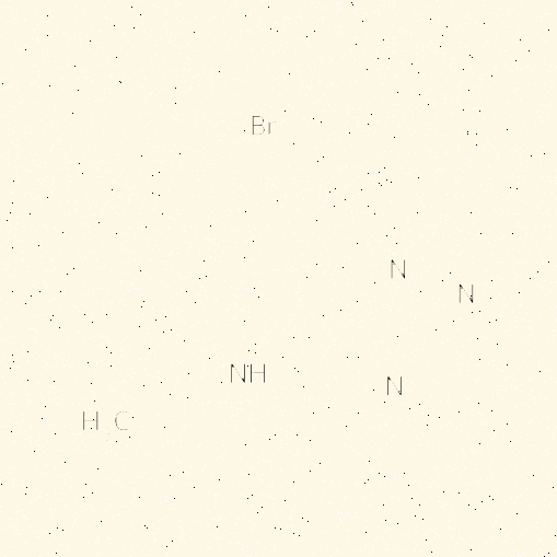 CCNc1cc(Br)cn2ncnc12